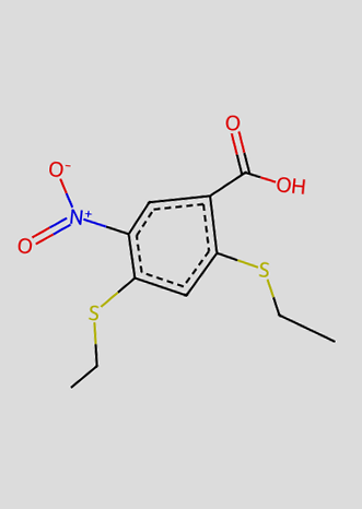 CCSc1cc(SCC)c([N+](=O)[O-])cc1C(=O)O